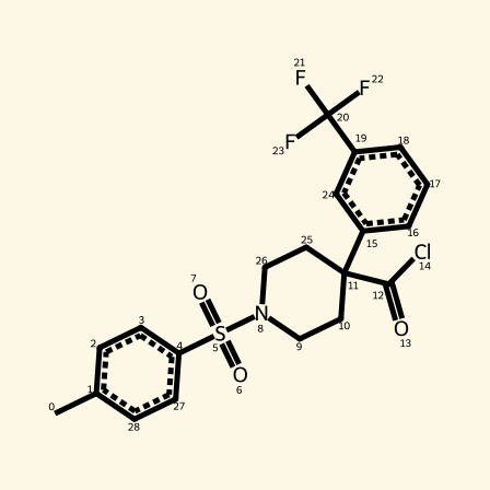 Cc1ccc(S(=O)(=O)N2CCC(C(=O)Cl)(c3cccc(C(F)(F)F)c3)CC2)cc1